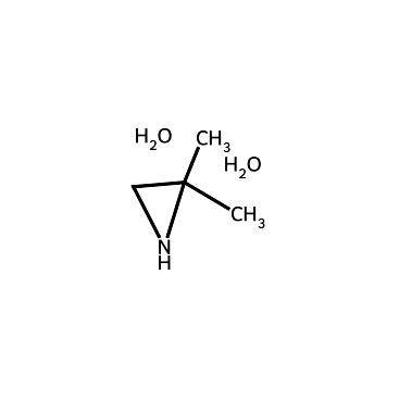 CC1(C)CN1.O.O